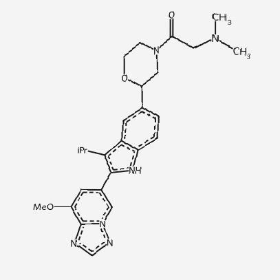 COc1cc(-c2[nH]c3ccc(C4CN(C(=O)CN(C)C)CCO4)cc3c2C(C)C)cn2ncnc12